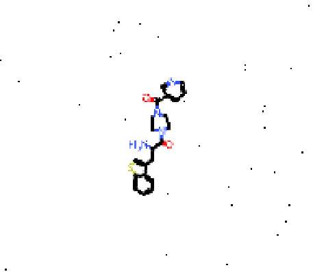 NC(Cc1csc2ccccc12)C(=O)N1CCN(C(=O)c2cccnc2)CC1